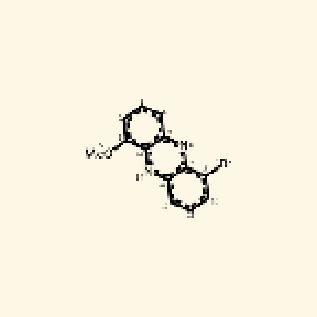 COc1cccc2nc3c(Br)cccc3nc12